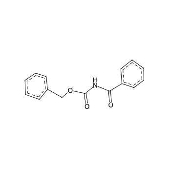 O=C(NC(=O)c1[c]cccc1)OCc1ccccc1